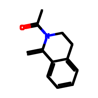 C=C1c2ccccc2CCN1C(C)=O